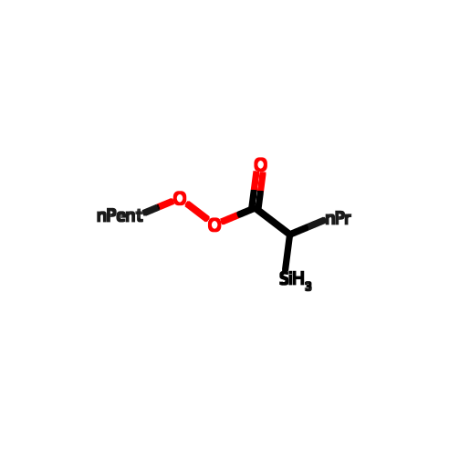 CCCCCOOC(=O)C([SiH3])CCC